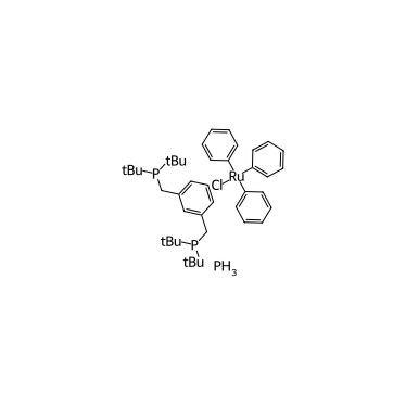 CC(C)(C)P(Cc1cccc(CP(C(C)(C)C)C(C)(C)C)c1)C(C)(C)C.P.[Cl][Ru]([c]1ccccc1)([c]1ccccc1)[c]1ccccc1